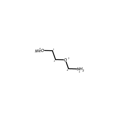 COCCOCN